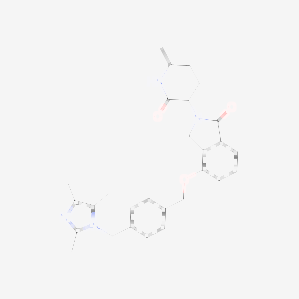 C=C1CCC(N2Cc3c(OCc4ccc(Cn5c(C)nc(C)c5C)cc4)cccc3C2=O)C(=O)N1